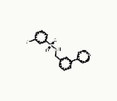 O=S(=O)(NCc1cccc(-c2ccncc2)c1)c1cccc(Cl)c1